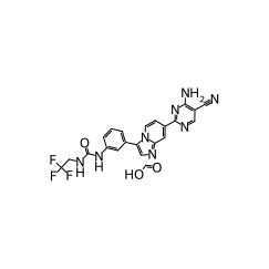 N#Cc1cnc(-c2ccn3c(-c4cccc(NC(=O)NCC(F)(F)F)c4)cnc3c2)nc1N.O=CO